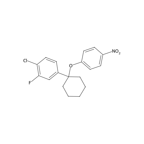 O=[N+]([O-])c1ccc(OC2(c3ccc(Cl)c(F)c3)CCCCC2)cc1